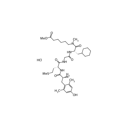 COC(=O)CCCCCN(C)C(=O)[C@H](CC1CCCCC1)NC(=O)CNC(=O)[C@@H](CCSC)NC(=O)[C@@H](N)Cc1c(C)cc(O)cc1C.Cl